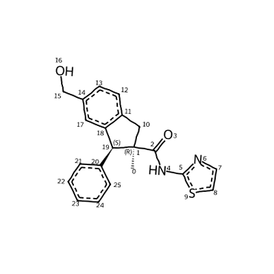 C[C@@]1(C(=O)Nc2nccs2)Cc2ccc(CO)cc2[C@@H]1c1ccccc1